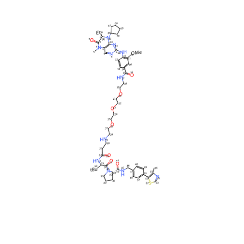 CC[C@@H]1C(=O)N(C)c2cnc(Nc3ccc(C(=O)NCCOCCOCCOCCNCCC(=O)NC(C(=O)N4CCC[C@H]4C(=O)NCc4ccc(-c5scnc5C)cc4)C(C)(C)C)cc3OC)nc2N1C1CCCC1